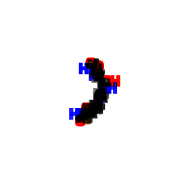 CS(=O)(=O)Nc1ccc(C(O)CNC2CCN(c3ccc(CC4SC(=O)NC4=O)cc3)CC2)cn1